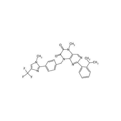 CC(C)c1ccccc1-c1ncc2c(n1)n(Cc1ccc(-c3nc(C(F)(F)F)cn3C)cc1)c(=O)c(=O)n2C